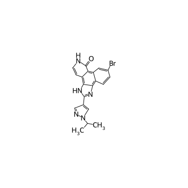 CC(C)n1cc(-c2nc3c4ccc(Br)cc4c4c(=O)[nH]ccc4c3[nH]2)cn1